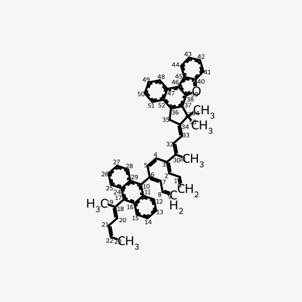 C=C/C=C(/C=C\C(=C\C=C)c1c2ccccc2c(/C(C)=C/C=C\C)c2ccccc12)C(\C)=C\C=C1/Cc2c(c3oc4ccccc4c3c3ccccc23)C1(C)C